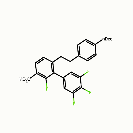 CCCCCCCCCCc1ccc(CCc2ccc(C(=O)O)c(F)c2-c2cc(F)c(F)c(F)c2)cc1